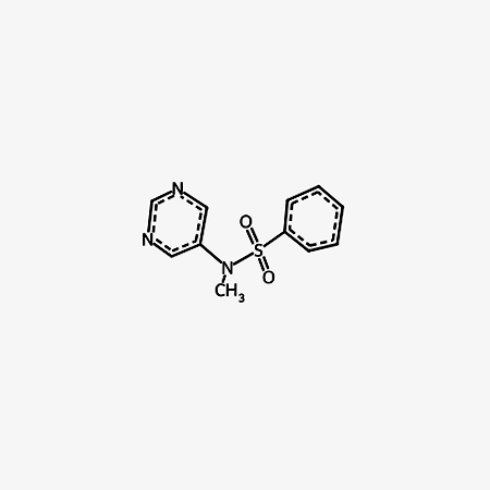 CN(c1cncnc1)S(=O)(=O)c1ccccc1